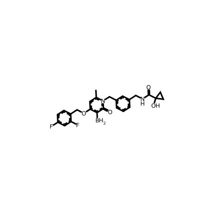 Bc1c(OCc2ccc(F)cc2F)cc(C)n(Cc2cccc(CNC(=O)C3(O)CC3)c2)c1=O